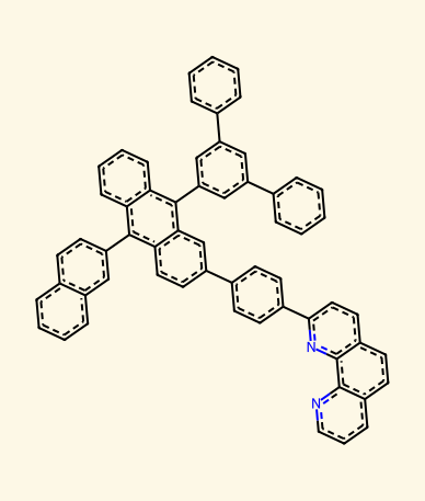 c1ccc(-c2cc(-c3ccccc3)cc(-c3c4ccccc4c(-c4ccc5ccccc5c4)c4ccc(-c5ccc(-c6ccc7ccc8cccnc8c7n6)cc5)cc34)c2)cc1